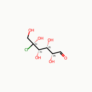 O=C[C@H](O)[C@@H](O)[C@H](O)[C@@](O)(Cl)CO